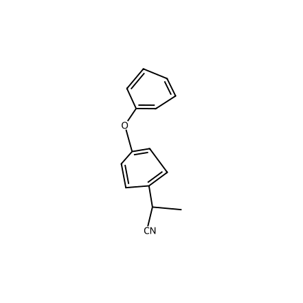 CC(C#N)c1ccc(Oc2ccccc2)cc1